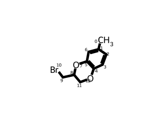 Cc1ccc2c(c1)OC(CBr)CO2